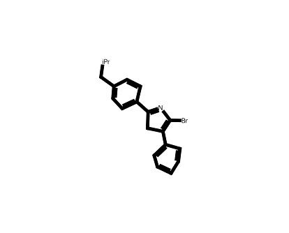 CC(C)Cc1ccc(C2=NC(Br)=C(c3ccccc3)C2)cc1